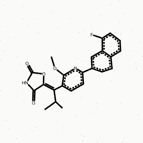 COc1nc(-c2ccc3cccc(F)c3c2)ccc1C(=C1OC(=O)NC1=O)C(C)C